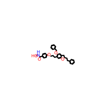 O=C(NO)c1ccc(OCCCc2cc3c(cc2OCc2ccccc2)CC(CCc2ccccc2)O3)cc1